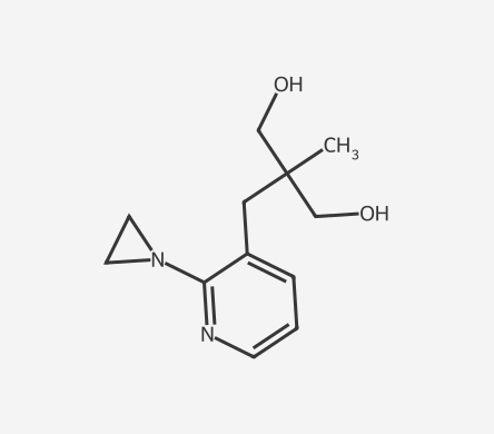 CC(CO)(CO)Cc1cccnc1N1CC1